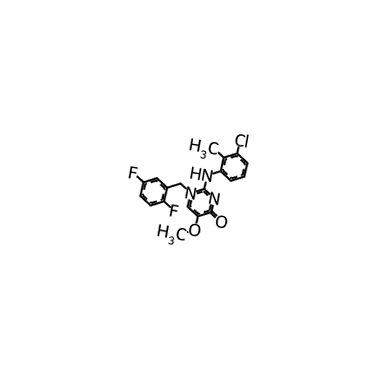 COc1cn(Cc2cc(F)ccc2F)c(Nc2cccc(Cl)c2C)nc1=O